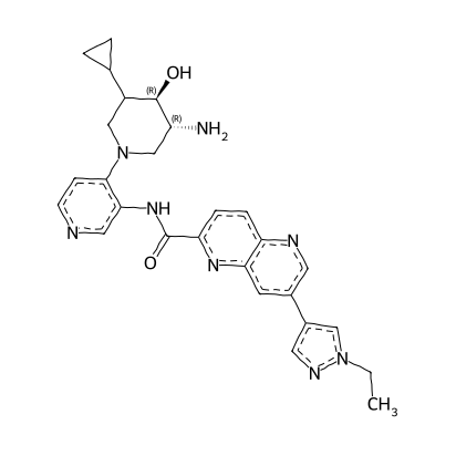 CCn1cc(-c2cnc3ccc(C(=O)Nc4cnccc4N4CC(C5CC5)[C@@H](O)[C@H](N)C4)nc3c2)cn1